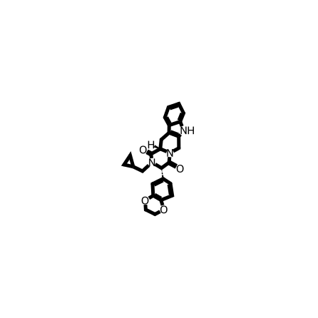 O=C1[C@@H]2Cc3c([nH]c4ccccc34)CN2C(=O)[C@H](c2ccc3c(c2)OCCO3)N1CC1CC1